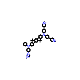 C[n+]1ccc(-c2ccc(N(c3ccc(-c4cc[n+](C)cc4)cc3)c3ccc4c(c3)C(C)(C)c3cc5c(cc3-4)C(C)(C)c3cc(N(c4ccccc4)c4ccc(-n6cc[n+](C)c6)cc4)ccc3-5)cc2)cc1